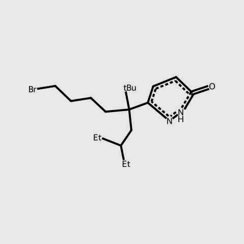 CCC(CC)CC(CCCCBr)(c1ccc(=O)[nH]n1)C(C)(C)C